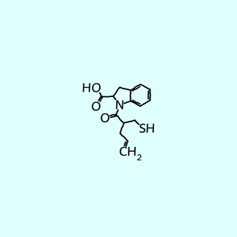 C=CCC(CS)C(=O)N1c2ccccc2CC1C(=O)O